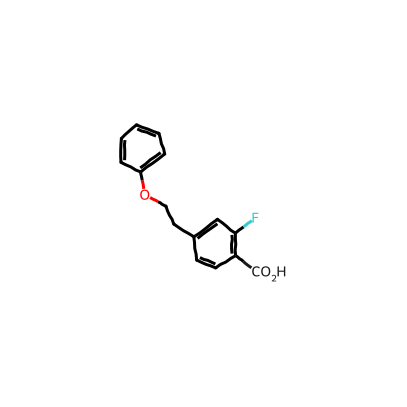 O=C(O)c1ccc(CCOc2ccccc2)cc1F